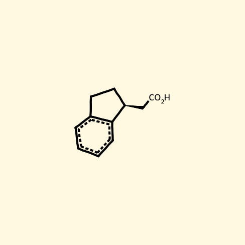 O=C(O)C[C@@H]1CCc2ccccc21